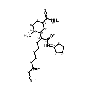 CCC(=O)CCCCC[C@H](C(=O)NC1CCCC1)C1CC(C(N)=O)CCN1C